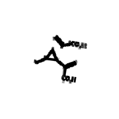 C=C(C(=O)O)C1CC1C.C=CC(=O)OCC